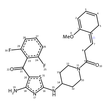 COC1=CC=CC/C1=C/CC(=O)N1CCC(Nc2nc(N)c(C(=O)c3c(F)cccc3F)s2)CC1